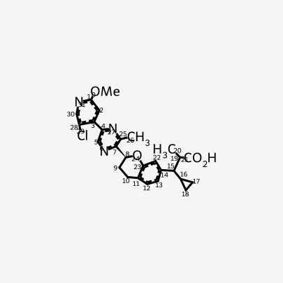 COc1cc(-c2cnc([C@@H]3CCc4ccc(C(C5CC5)C(C)C(=O)O)cc4O3)c(C)n2)c(Cl)cn1